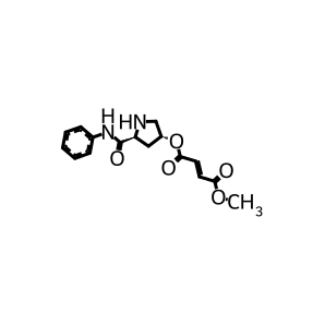 COC(=O)/C=C/C(=O)O[C@H]1CN[C@H](C(=O)Nc2ccccc2)C1